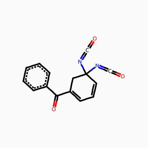 O=C=NC1(N=C=O)C=CC=C(C(=O)c2ccccc2)C1